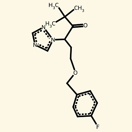 CC(C)(C)C(=O)C(CCOCc1ccc(F)cc1)n1cncn1